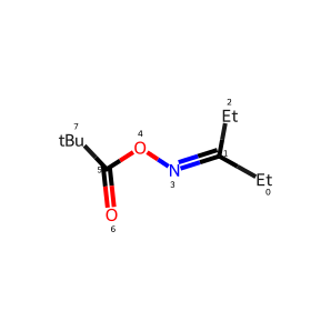 CCC(CC)=NOC(=O)C(C)(C)C